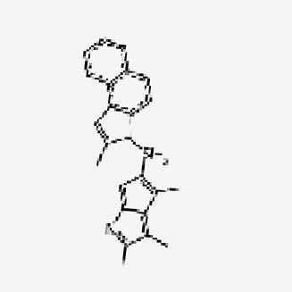 CC1=Cc2c(ccc3ccccc23)C1[SiH2]C1=C(C)C2=C(C)C(C)=NC2=C1